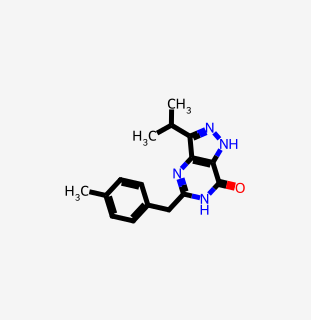 Cc1ccc(Cc2nc3c(C(C)C)n[nH]c3c(=O)[nH]2)cc1